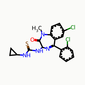 CN1C(=O)C(NC(=S)NC2CC2)N=C(c2ccccc2Cl)c2cc(Cl)ccc21